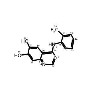 Oc1cc2ncnc(Nc3ccccc3C(F)(F)F)c2cc1O